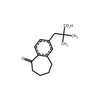 CC(C)(Cc1ccc2c(c1)CCCCC2=O)C(=O)O